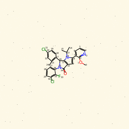 COc1ncccc1-c1cc2c(n1C(C)C)C(c1ccc(Cl)cc1C)N(c1cccc(Cl)c1F)C2=O